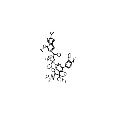 C[C@]1(C(N)=O)COc2c1cc(C(O)(CNC(=O)c1cc(OC3CC3)n3nc(C4CC4)cc3c1)C1CCC1)nc2-c1ccc(F)c(Cl)c1